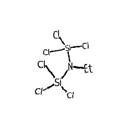 CCN([Si](Cl)(Cl)Cl)[Si](Cl)(Cl)Cl